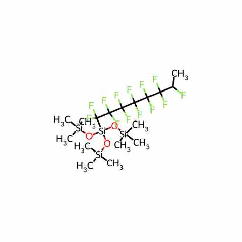 CC(F)C(F)(F)C(F)(F)C(F)(F)C(F)(F)C(F)(F)C(F)(F)[Si](O[Si](C)(C)C)(O[Si](C)(C)C)O[Si](C)(C)C